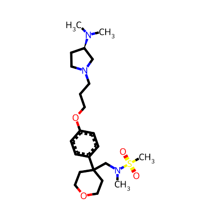 CN(C)[C@@H]1CCN(CCCOc2ccc(C3(CN(C)S(C)(=O)=O)CCOCC3)cc2)C1